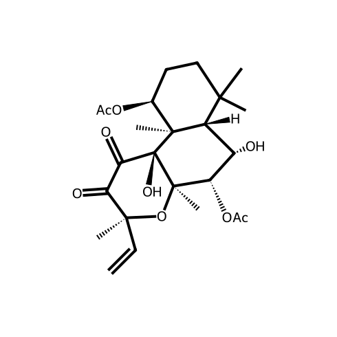 C=C[C@]1(C)O[C@]2(C)[C@@H](OC(C)=O)[C@@H](O)[C@H]3C(C)(C)CC[C@H](OC(C)=O)[C@]3(C)[C@@]2(O)C(=O)C1=O